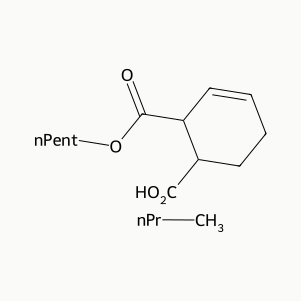 CCCC.CCCCCOC(=O)C1C=CCCC1C(=O)O